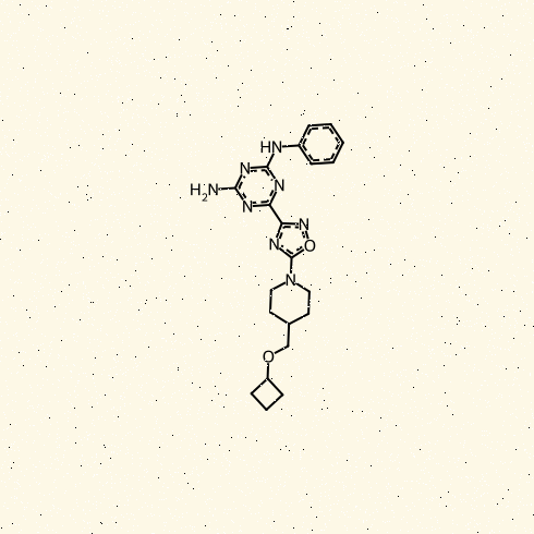 Nc1nc(Nc2ccccc2)nc(-c2noc(N3CCC(COC4CCC4)CC3)n2)n1